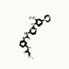 C=CC(=O)Nc1cccc(NC(=O)Nc2ccnc(Nc3ccc(N4CCOCC4)cc3OC)n2)c1